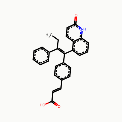 CCC(=C(c1ccc(C=CC(=O)O)cc1)c1cccc2[nH]c(=O)ccc12)c1ccccc1